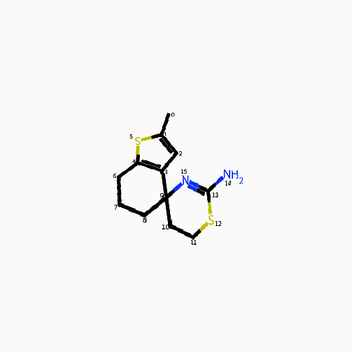 Cc1cc2c(s1)CCCC21CCSC(N)=N1